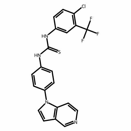 FC(F)(F)c1cc(NC(=S)Nc2ccc(-n3ccc4cnccc43)cc2)ccc1Cl